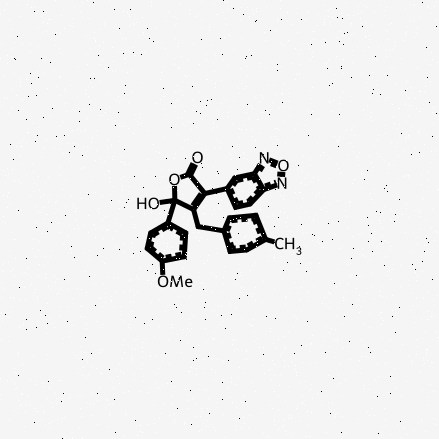 COc1ccc(C2(O)OC(=O)C(c3ccc4nonc4c3)=C2Cc2ccc(C)cc2)cc1